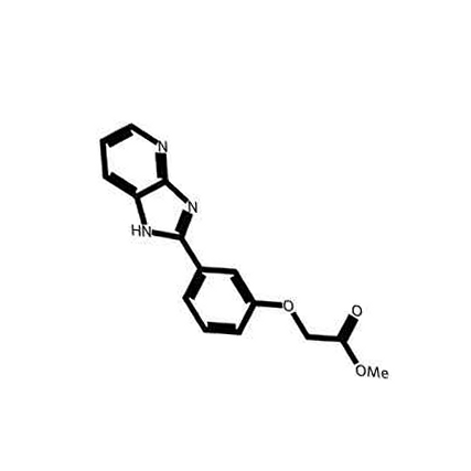 COC(=O)COc1cccc(-c2nc3ncccc3[nH]2)c1